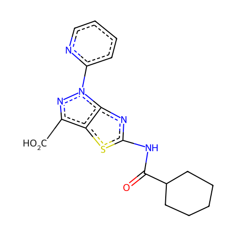 O=C(O)c1nn(-c2ccccn2)c2nc(NC(=O)C3CCCCC3)sc12